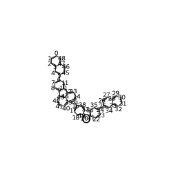 c1ccc2cc(-c3ccc4c(c3)-c3ccc(-c5ccc6oc7ccc(-c8ccc9ccccc9c8)cc7c6c5)c5cccc-4c35)ccc2c1